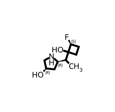 CC([C@H]1C[C@@H](O)CN1)C1(O)CC[C@@H]1F